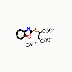 O=C([O-])CC(Sc1nc2ccccc2o1)C(=O)[O-].[Ca+2]